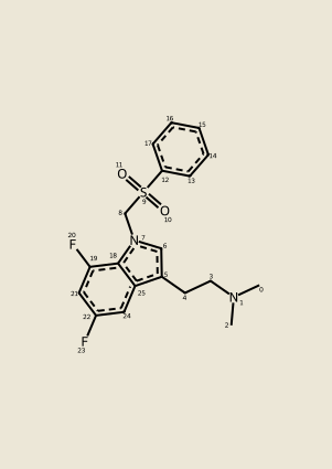 CN(C)CCc1cn(CS(=O)(=O)c2ccccc2)c2c(F)cc(F)cc12